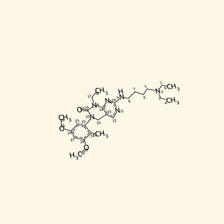 CCN(CC)CCCCNc1ncc2c(n1)N(CC)C(=O)N(c1cc(OC)cc(OC)c1C)C2